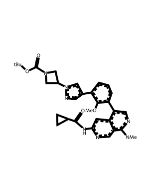 CNc1ncc(-c2cccc(-c3cnn(C4CN(C(=O)OC(C)(C)C)C4)c3)c2OC)c2cc(NC(=O)C3CC3)ncc12